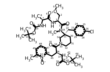 COC[C@H](NC(=O)[C@H](C)NC(=O)OC(C)(C)C)C(=O)N(C)[C@@]1(Cc2ccc(Cl)cc2)CCCN(C(=O)[C@@H](CC(=O)OC(C)(C)C)Cc2cccc(C)[n+]2[O-])C1